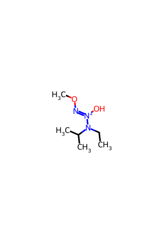 CCN(C(C)C)/[N+](O)=N/OC